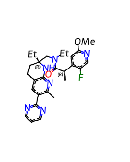 CCN(C[C@@]1(CC)CCc2cc(-c3ncccn3)c(C)nc2N1)C(=O)[C@H](C)c1cc(OC)ncc1F